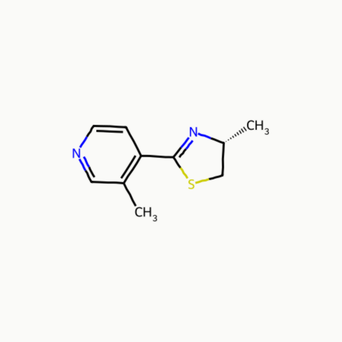 Cc1cnccc1C1=N[C@H](C)CS1